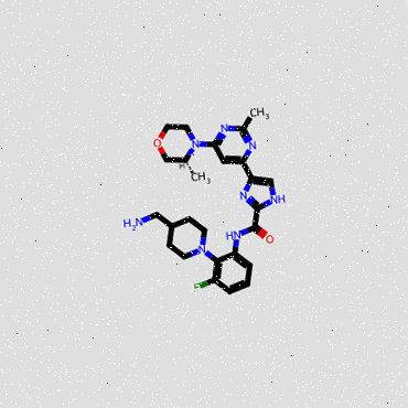 Cc1nc(-c2c[nH]c(C(=O)Nc3cccc(F)c3N3CCC(CN)CC3)n2)cc(N2CCOC[C@H]2C)n1